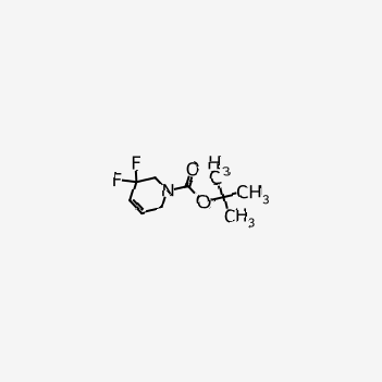 CC(C)(C)OC(=O)N1CC=CC(F)(F)C1